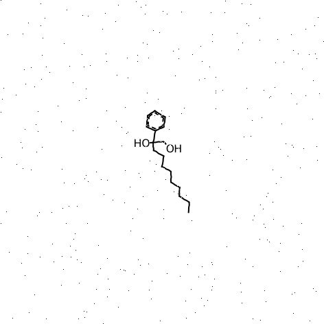 CCCCCCCCCC(O)(CO)c1ccccc1